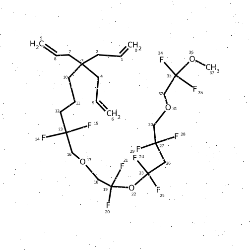 C=CCC(CC=C)(CC=C)CCCC(F)(F)COCC(F)(F)OC(F)(F)CC(F)(F)COCC(F)(F)OC